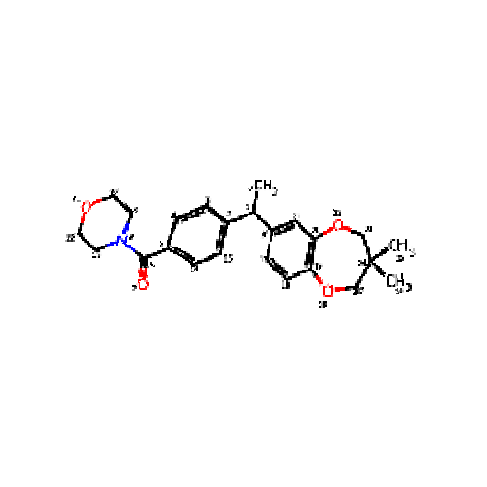 CC(c1ccc(C(=O)N2CCOCC2)cc1)c1ccc2c(c1)OCC(C)(C)CO2